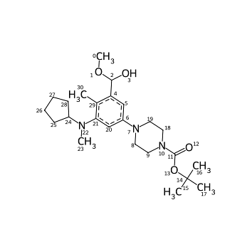 COC(O)c1cc(N2CCN(C(=O)OC(C)(C)C)CC2)cc(N(C)C2CCCC2)c1C